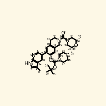 Cc1c[nH]c2ncc(-c3cc4c(c([C@@H]5COCCN5C(=O)OC(C)(C)C)c3)CN(C(=O)N3C[C@@H](C)O[C@@H](C)C3)CC4)cc12